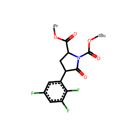 CC(C)OC(=O)C1CC(c2cc(F)cc(F)c2F)C(=O)N1C(=O)OC(C)(C)C